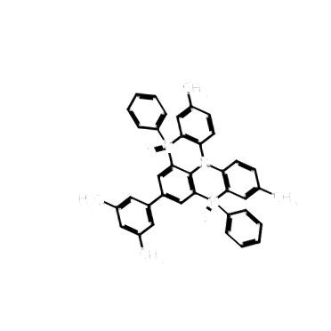 Cc1cc(C)cc(-c2cc3c4c(c2)P(=S)(c2ccccc2)c2cc(C)ccc2N4c2ccc(C)cc2P3(=S)c2ccccc2)c1